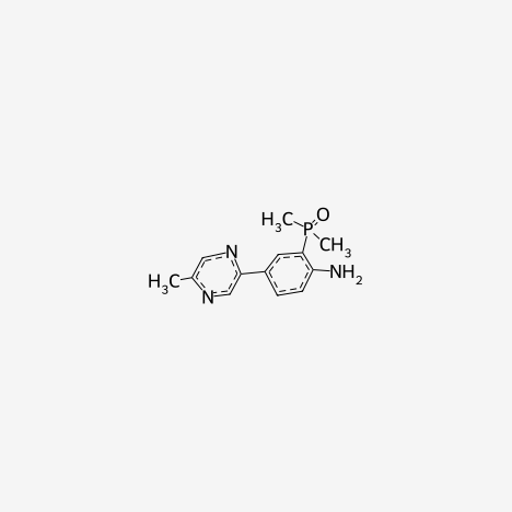 Cc1cnc(-c2ccc(N)c(P(C)(C)=O)c2)cn1